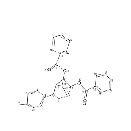 Cc1ccc(C2CC3CCC2C(OC(=O)c2ccccc2)C3OC(=O)c2ccccc2)cc1